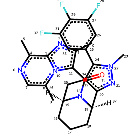 Cc1nc2c(C)ncc(C)n2c1C(=O)N1[C@H]2CCC[C@@H]1c1nn(C)c(-c3cc(F)c(F)c(F)c3)c1C2